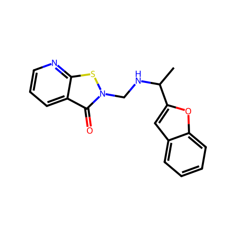 CC(NCn1sc2ncccc2c1=O)c1cc2ccccc2o1